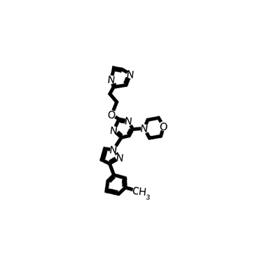 Cc1cccc(-c2ccn(-c3cc(N4CCOCC4)nc(OCCc4cnccn4)n3)n2)c1